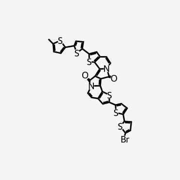 Cc1ccc(-c2ccc(-c3cc4c(s3)C3=C5C(=O)N6C=Cc7cc(-c8ccc(-c9ccc(Br)s9)s8)sc7C6=C5C(=O)N3C=C4)s2)s1